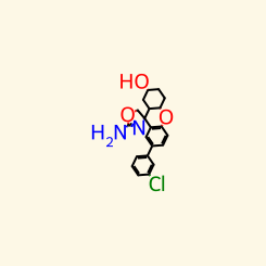 NC1=NC2(CO1)c1cc(-c3cccc(Cl)c3)ccc1OC1CCC(O)CC12